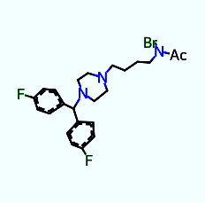 CC(=O)N(Br)CCCCN1CCN(C(c2ccc(F)cc2)c2ccc(F)cc2)CC1